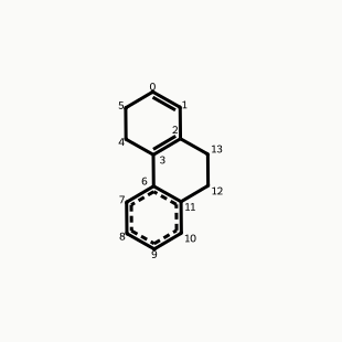 C1=CC2=C(CC1)c1ccccc1CC2